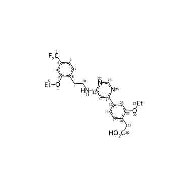 CCOc1cc(C(F)(F)F)ccc1CCNc1cc(-c2ccc(CC(=O)O)c(OCC)c2)ncn1